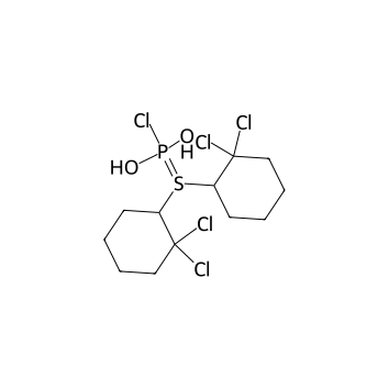 OP(O)(Cl)=S(C1CCCCC1(Cl)Cl)C1CCCCC1(Cl)Cl